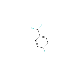 FC1C=CC(C(F)F)=CC1